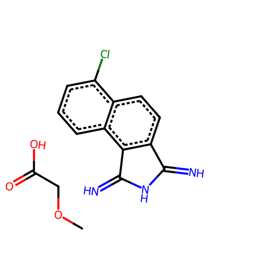 COCC(=O)O.N=C1NC(=N)c2c1ccc1c(Cl)cccc21